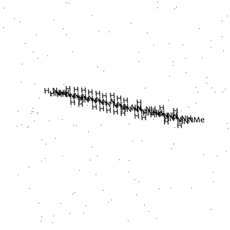 CNNNNNNNNNNNNNNNNNNNNNNNNNNNNNNNNNNNNNNN